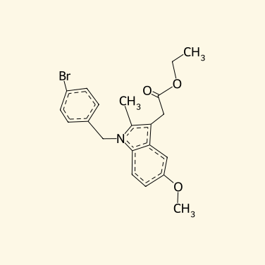 CCOC(=O)Cc1c(C)n(Cc2ccc(Br)cc2)c2ccc(OC)cc12